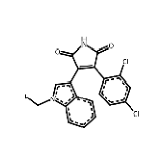 O=C1NC(=O)C(c2cn(CI)c3ccccc23)=C1c1ccc(Cl)cc1Cl